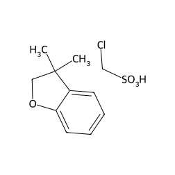 CC1(C)COc2ccccc21.O=S(=O)(O)CCl